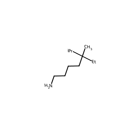 CCC(C)(CCCCN)C(C)C